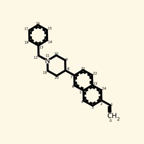 C=Cc1ccc2cc(C3CCN(Cc4ccccc4)CC3)ccc2c1